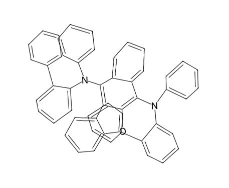 c1ccc(-c2ccccc2N(c2ccccc2)c2c3ccccc3c(N(c3ccccc3)c3ccccc3-c3ccccc3)c3c2oc2ccccc23)cc1